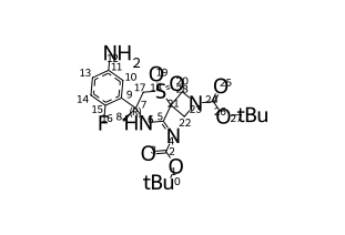 CC(C)(C)OC(=O)N=C1N[C@](C)(c2cc(N)ccc2F)CS(=O)(=O)C12CN(C(=O)OC(C)(C)C)C2